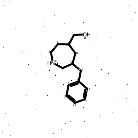 OCC1CCNCC(Cc2ccccc2)C1